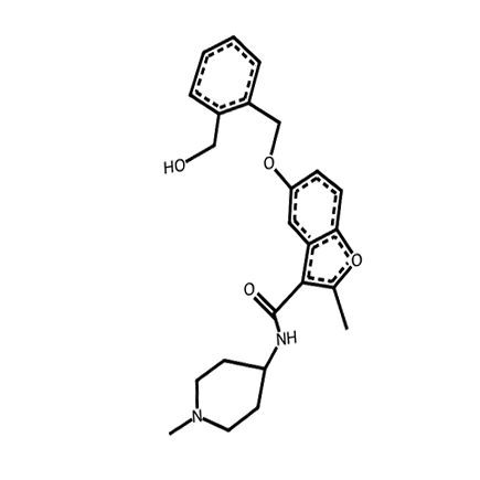 Cc1oc2ccc(OCc3ccccc3CO)cc2c1C(=O)NC1CCN(C)CC1